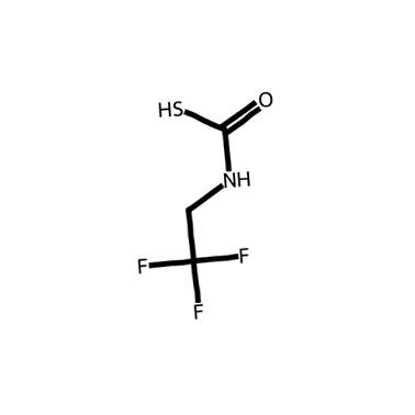 O=C(S)NCC(F)(F)F